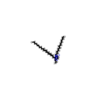 CCCCCCCCCCCCCCCCCCCc1n(CCC)cc[n+]1CCCCCCCCCCCCCC